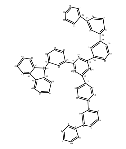 c1ccc(-c2cccc(-c3ccc(-c4nc(-c5cccc(-c6cccc(-c7ccccc7)c6)c5)nc(-c5cccc(-n6c7ccccc7c7ccccc76)c5)n4)cc3)c2)cc1